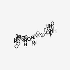 COc1cc(N2CCN(C(=O)CN3CCC(c4cc(F)c(NC5CCC(=O)NC5=O)cc4F)CC3)CC2)c(-c2cnn(C)c2)cc1Nc1ncc(Br)c(Nc2ccc3ccccc3c2P(C)C)n1